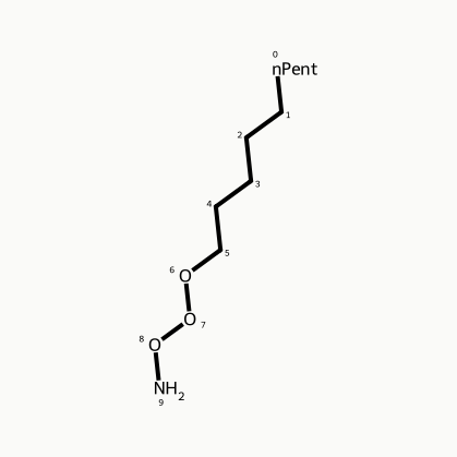 CCCCCCCCCCOOON